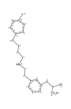 CCC(Oc1cccc(CCNCCCOc2ccc(F)cc2)c1)C(=O)O